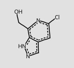 OCc1nc(Cl)cc2cn[nH]c12